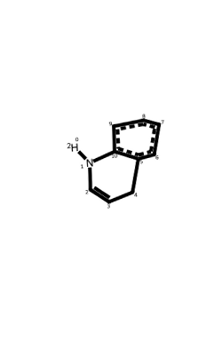 [2H]N1C=CCc2ccccc21